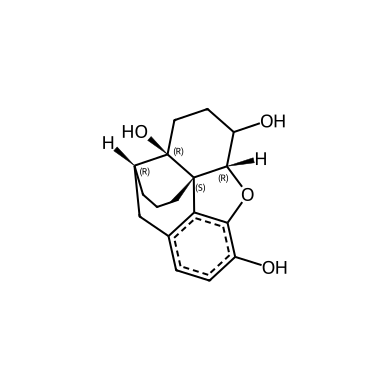 Oc1ccc2c3c1O[C@H]1C(O)CC[C@@]4(O)[C@H](CCC[C@]314)C2